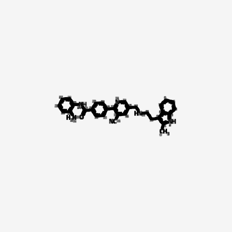 Cc1[nH]c2ccccc2c1CCNCc1cnc(-c2ccc(C(=O)Nc3ccccc3N)cc2)c(C#N)c1